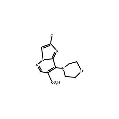 O=C(O)c1cnn2cc(Cl)nc2c1N1CCOCC1